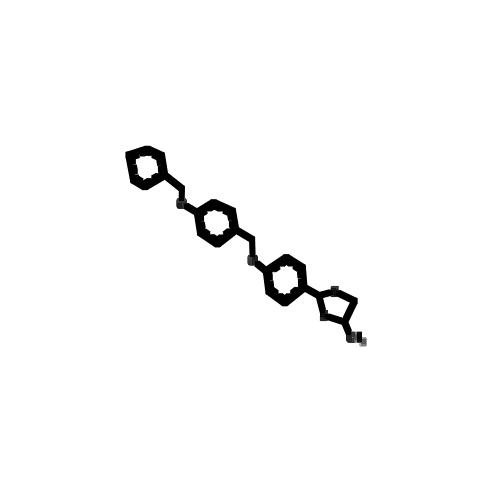 CC1CSC(c2ccc(OCc3ccc(OCc4ccccc4)cc3)cc2)S1